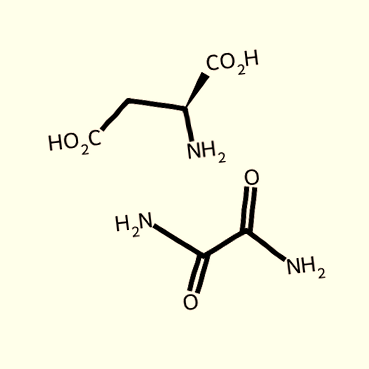 NC(=O)C(N)=O.N[C@@H](CC(=O)O)C(=O)O